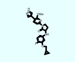 COc1nc(N2CCC(Nc3ccc(F)c(OCC4CC4)c3)C2=O)ccc1-c1cn[nH]c1